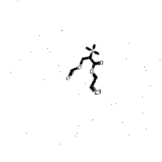 C[Si](C)(C)C(COC=O)C(=O)OCCCl